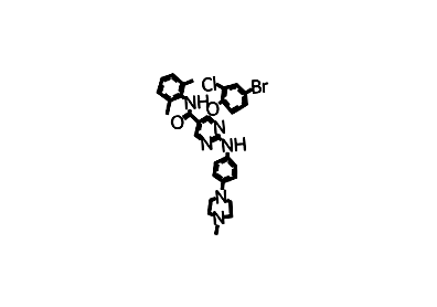 Cc1cccc(C)c1NC(=O)c1cnc(Nc2ccc(N3CCN(C)CC3)cc2)nc1Oc1ccc(Br)cc1Cl